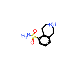 NS(=O)(=O)c1cccc2c1CCNCC2